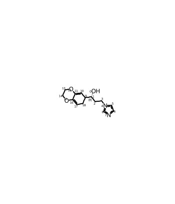 O[C@H](CCn1ccnc1)C1C=C2OCCOC2=CC1